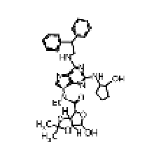 CCN(C(=O)[C@H]1O[C@@H](O)[C@@H]2OC(C)(C)O[C@@H]21)n1cnc2c(NCC(c3ccccc3)c3ccccc3)nc(NC3CCCC3O)nc21